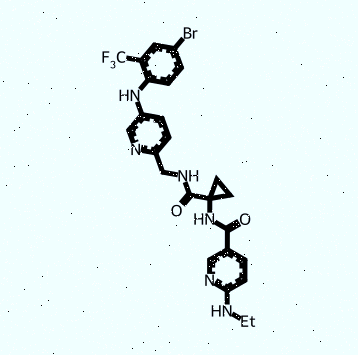 CCNc1ccc(C(=O)NC2(C(=O)NCc3ccc(Nc4ccc(Br)cc4C(F)(F)F)cn3)CC2)cn1